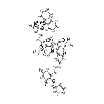 Cc1nc2cc(C=CCc3cc(F)cc(F)c3OCc3ccccc3)nn2c(N2CCC(C)(OCCCC[C@@H](C)O[Si](c3ccccc3)(c3ccccc3)C(C)(C)C)CC2)c1C(OC(C)(C)C)C(=O)O